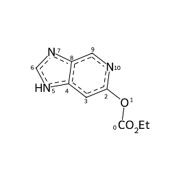 CCOC(=O)Oc1cc2[nH]cnc2cn1